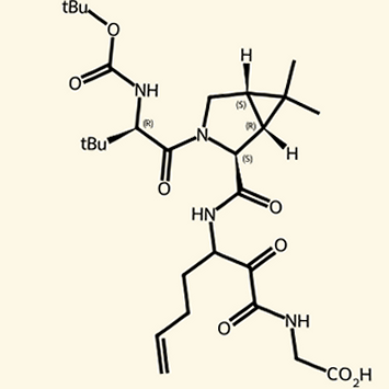 C=CCCC(NC(=O)[C@@H]1[C@@H]2[C@H](CN1C(=O)[C@H](NC(=O)OC(C)(C)C)C(C)(C)C)C2(C)C)C(=O)C(=O)NCC(=O)O